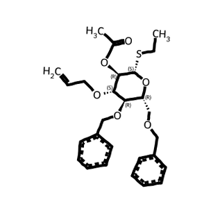 C=CCO[C@@H]1[C@@H](OC(C)=O)[C@H](SCC)O[C@H](COCc2ccccc2)[C@H]1OCc1ccccc1